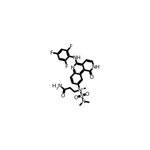 CN(C)S(=O)(=O)[N+](C)(CCC(N)=O)c1ccc2nc(Nc3c(F)cc(F)cc3F)c3cc[nH]c(=O)c3c2c1